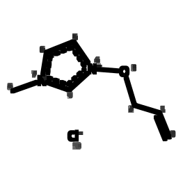 C=CCO[n+]1ccn(C)c1.[Cl-]